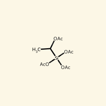 CC(=O)OC(C)[Si](OC(C)=O)(OC(C)=O)OC(C)=O